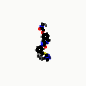 CNC(=O)COc1ccc2cnc(C(=O)Nc3cccc([C@@H](C)Sc4nncn4C)c3)cc2c1